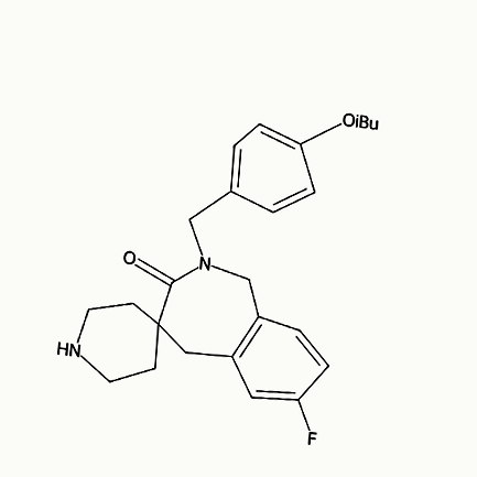 CC(C)COc1ccc(CN2Cc3ccc(F)cc3CC3(CCNCC3)C2=O)cc1